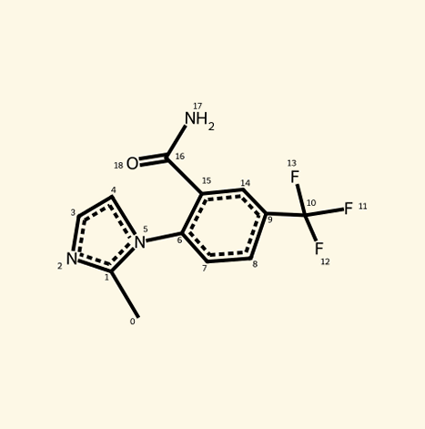 Cc1nccn1-c1ccc(C(F)(F)F)cc1C(N)=O